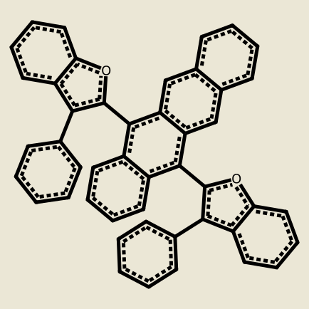 c1ccc(-c2c(-c3c4ccccc4c(-c4oc5ccccc5c4-c4ccccc4)c4cc5ccccc5cc34)oc3ccccc23)cc1